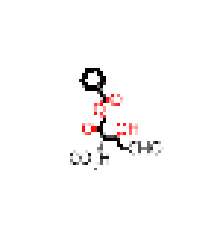 O=CC[C@H](O)[C@H](CC(=O)O)C(=O)COC(=O)c1ccccc1